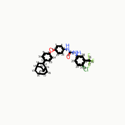 O=C(Nc1ccc(Oc2ccc(C3CC4CC5CCC3C(C5)C4)cc2)cc1)Nc1ccc(Cl)c(C(F)(F)F)c1